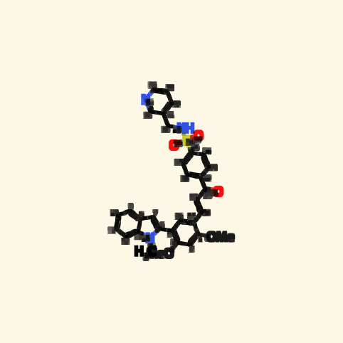 COc1cc(OC)c(-c2cc3ccccc3n2C)cc1C=CC(=O)c1ccc(S(=O)(=O)NCc2cccnc2)cc1